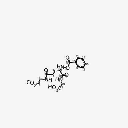 O=C(O)CNC(=O)CC[C@H](NOC(=O)c1ccccc1)C(=O)NCC(=O)O